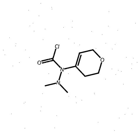 CN(C)N(C(=O)Cl)C1=CCOCC1